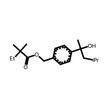 CCC(C)(C)C(=O)OCc1ccc(C(C)(O)CC(C)C)cc1